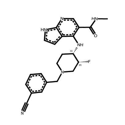 CNC(=O)c1cnc2[nH]ccc2c1N[C@H]1CCN(Cc2cccc(C#N)c2)C[C@H]1F